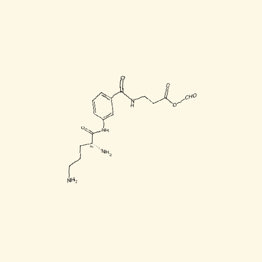 NCCC[C@@H](N)C(=O)Nc1cccc(C(=O)NCCC(=O)OC=O)c1